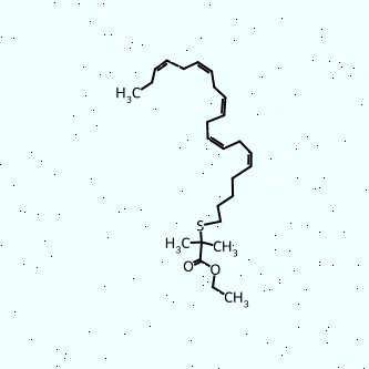 CC/C=C\C/C=C\C/C=C\C/C=C\C/C=C\CCCCSC(C)(C)C(=O)OCC